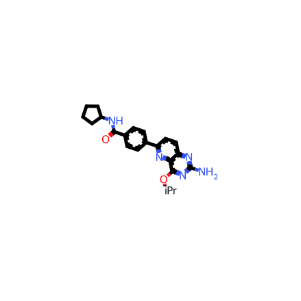 CC(C)Oc1nc(N)nc2ccc(-c3ccc(C(=O)NC4CCCC4)cc3)nc12